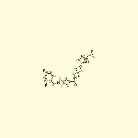 O=C(N1CC2(CC(c3nnc(C4CC4)[nH]3)C2)C1)N1CC2(CN(Cc3ccc(F)cc3F)C2)C1